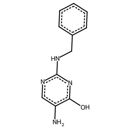 Nc1cnc(NCc2ccccc2)nc1O